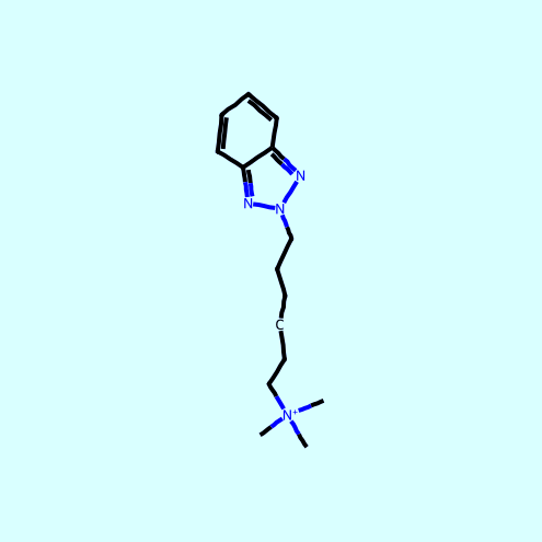 C[N+](C)(C)CCCCCCn1nc2ccccc2n1